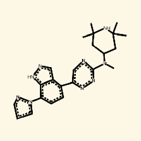 CN(c1ncc(-c2ccc(-n3cccn3)c3[nH]ncc23)nn1)C1CC(C)(C)NC(C)(C)C1